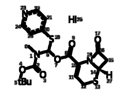 CN(C(=O)OC(C)(C)C)C(OC(=O)C1=CCS[C@H]2CC(=O)N12)Sc1ccncc1.I